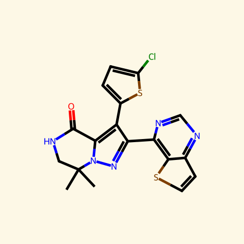 CC1(C)CNC(=O)c2c(-c3ccc(Cl)s3)c(-c3ncnc4ccsc34)nn21